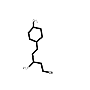 CC(CCO)CCC1CCC(C)CC1